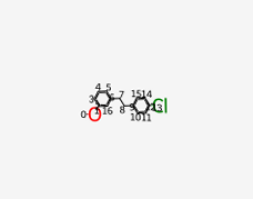 COc1cccc(CCc2ccc(Cl)cc2)c1